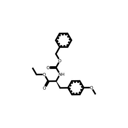 CCOC(=O)[C@H](Cc1ccc(OC)cc1)NC(=O)OCc1ccccc1